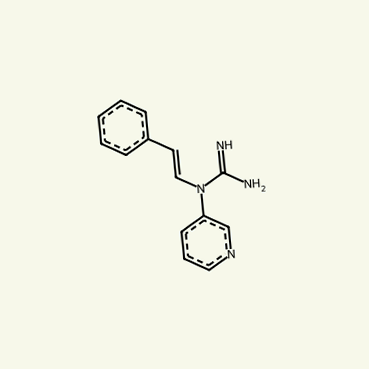 N=C(N)N(C=Cc1ccccc1)c1cccnc1